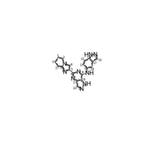 c1ccn2cc(-c3nc(Nc4ccc5[nH]ncc5c4)c4[nH]ncc4n3)nc2c1